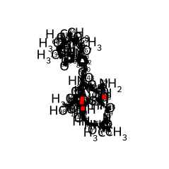 CC[C@H](C)[C@@H]1NC(=O)CNC(=O)[C@@H]2Cc3c([nH]c4ccccc34)SC[C@H](NC(=O)CNC1=O)C(=O)N[C@@H](CC(N)=O)C(=O)N1C[C@H](NC(=O)OCc3ccc(NC(=O)[C@H](C)NC(=O)[C@@H](NC(=O)C(C)(C)CC(C)(C)CN4C(=O)C=CC4=O)C(C)C)cc3)C[C@H]1C(=O)N[C@@H]([C@@H](C)[C@@H](O)CO)C(=O)N2